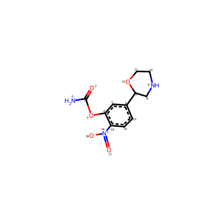 NC(=O)Oc1cc(C2CNCCO2)ccc1[N+](=O)[O-]